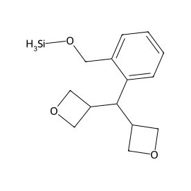 [SiH3]OCc1ccccc1C(C1COC1)C1COC1